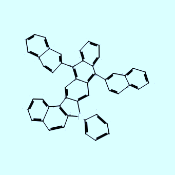 c1ccc(-p2c3cc4c(-c5ccc6ccccc6c5)c5ccccc5c(-c5ccc6ccccc6c5)c4cc3c3c4ccccc4ccc32)cc1